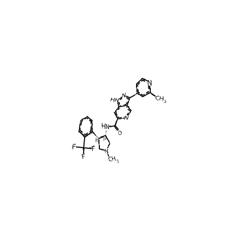 Cc1cc(-c2n[nH]c3cc(C(=O)N[C@@H]4CN(C)C[C@H]4c4ccccc4C(F)(F)F)ncc23)ccn1